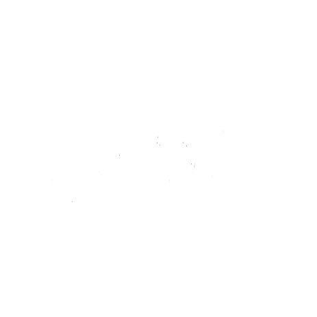 c1ccc(Cn2cc(COc3ccccc3)nn2)cc1